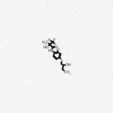 CCC(O)CSc1ccc(NC(=O)C(C)(O)C(F)(F)F)c(Cl)c1